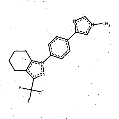 Cn1cnc(-c2ccc(-n3nc(C(F)(F)F)c4c3CCCC4)cc2)c1